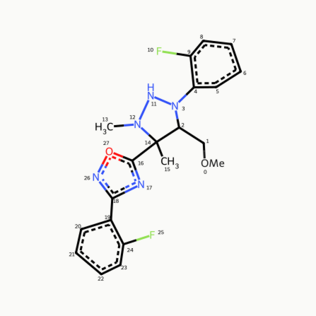 COCC1N(c2ccccc2F)NN(C)C1(C)c1nc(-c2ccccc2F)no1